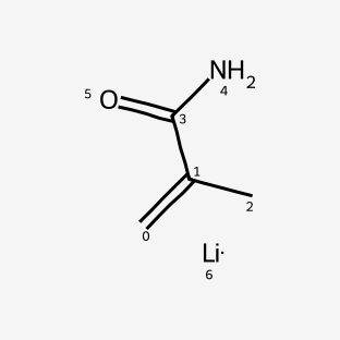 C=C(C)C(N)=O.[Li]